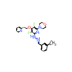 Cc1cccc(C=NNc2nc(N3CCOCC3)c(F)c(OCCc3ccccn3)c2F)c1